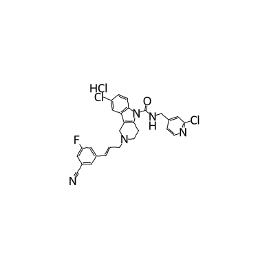 Cl.N#Cc1cc(F)cc(/C=C/CN2CCc3c(c4cc(Cl)ccc4n3C(=O)NCc3ccnc(Cl)c3)C2)c1